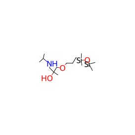 CC(C)NCC(C)(O)COCCC[Si](C)(C)O[Si](C)(C)C